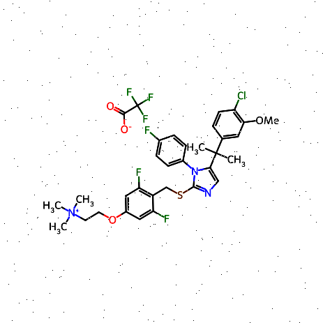 COc1cc(C(C)(C)c2cnc(SCc3c(F)cc(OCC[N+](C)(C)C)cc3F)n2-c2ccc(F)cc2)ccc1Cl.O=C([O-])C(F)(F)F